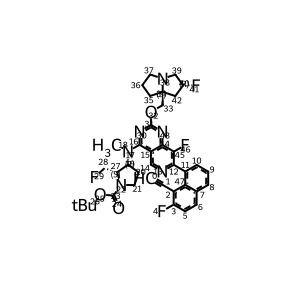 C#Cc1c(F)ccc2cccc(-c3ncc4c(N(C)[C@@H]5CCN(C(=O)OC(C)(C)C)[C@@H]5CF)nc(OC[C@@]56CCCN5C[C@H](F)C6)nc4c3F)c12